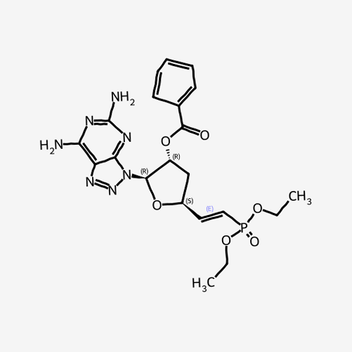 CCOP(=O)(/C=C/[C@@H]1C[C@@H](OC(=O)c2ccccc2)[C@H](n2nnc3c(N)nc(N)nc32)O1)OCC